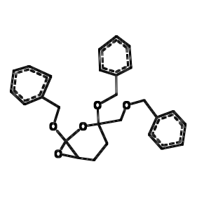 c1ccc(COCC2(OCc3ccccc3)CCC3OC3(OCc3ccccc3)O2)cc1